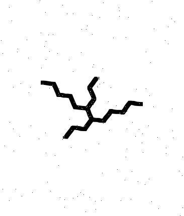 [CH2]CCC(CCCCC)C(CC[CH2])CCCCC